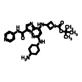 CC(C)(C)OC(=O)N1CC(Nc2cc(NC3CCC(N)CC3)nn3c(C(=O)Nc4ccncc4)cnc23)C1